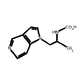 CC(Cn1ccc2cnccc21)NC(=O)O